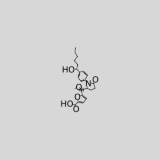 CCCCCC(O)c1ccc(N2C(=O)CCC2[C@@H](OC)c2ccc(C(=O)O)o2)cc1